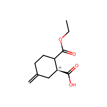 C=C1CCC(C(=O)OCC)[C@@H](C(=O)O)C1